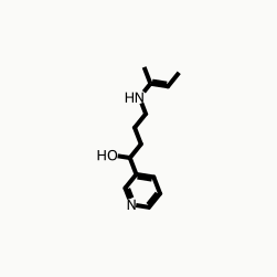 CC=C(C)NCCCC(O)c1cccnc1